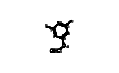 Cc1cc(OC=O)cc(C)n1